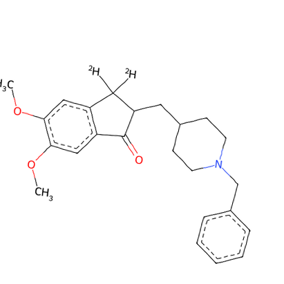 [2H]C1([2H])c2cc(OC)c(OC)cc2C(=O)C1CC1CCN(Cc2ccccc2)CC1